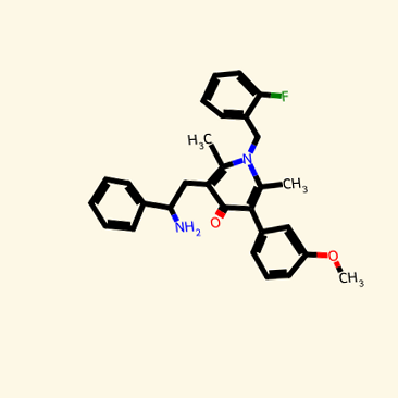 COc1cccc(-c2c(C)n(Cc3ccccc3F)c(C)c(CC(N)c3ccccc3)c2=O)c1